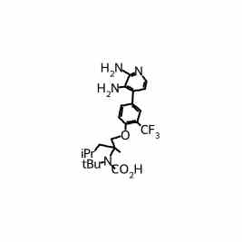 CC(C)CC(C)(COc1ccc(-c2ccnc(N)c2N)cc1C(F)(F)F)N(C(=O)O)C(C)(C)C